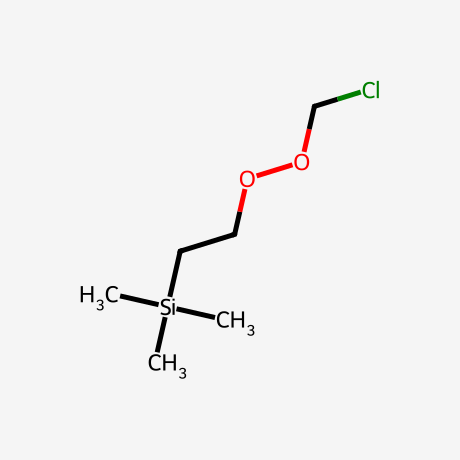 C[Si](C)(C)CCOOCCl